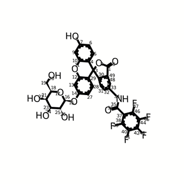 O=C1OC2(c3ccc(O)cc3Oc3cc(O[C@@H]4O[C@H](CO)[C@H](O)[C@H](O)[C@H]4O)ccc32)c2ccc(NC(=O)c3c(F)c(F)c(F)c(F)c3F)cc21